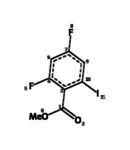 COC(=O)c1c(F)cc(F)cc1I